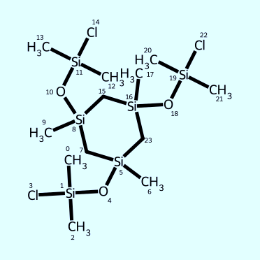 C[Si](C)(Cl)O[Si]1(C)C[Si](C)(O[Si](C)(C)Cl)C[Si](C)(O[Si](C)(C)Cl)C1